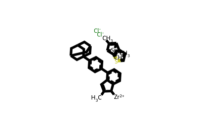 CC1=C2c3ccsc3C1[Si]2(C)C.CC1=Cc2c(-c3ccc(C45CC6CC(CC(C6)C4)C5)cc3)cccc2[CH]1[Zr+2].[Cl-].[Cl-]